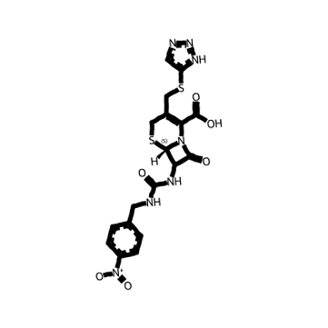 O=C(NCc1ccc([N+](=O)[O-])cc1)NC1C(=O)N2C(C(=O)O)=C(CSc3cnn[nH]3)CS[C@@H]12